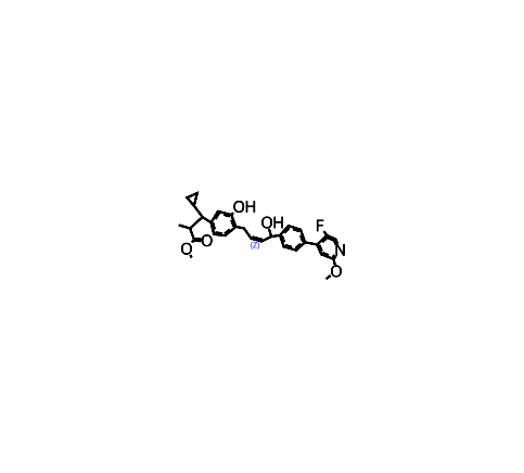 COC(=O)C(C)C(c1ccc(C/C=C\C(O)c2ccc(-c3cc(OC)ncc3F)cc2)c(O)c1)C1CC1